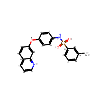 O=S(=O)(Nc1ccc(Oc2ccc3cccnc3c2)cc1)c1cccc(C(F)(F)F)c1